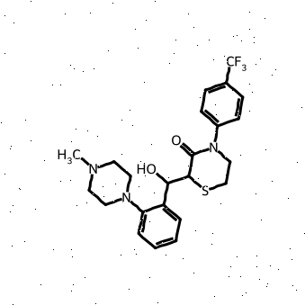 CN1CCN(c2ccccc2C(O)C2SCCN(c3ccc(C(F)(F)F)cc3)C2=O)CC1